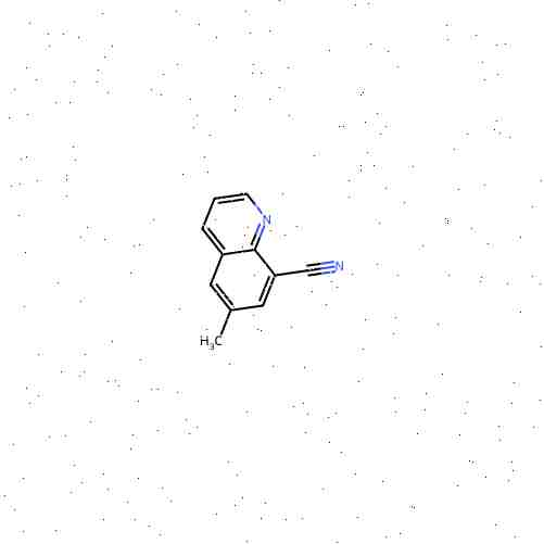 Cc1cc(C#N)c2ncccc2c1